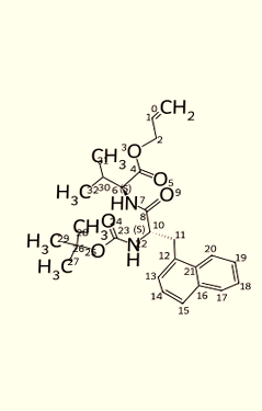 C=CCOC(=O)[C@@H](NC(=O)[C@H](Cc1cccc2ccccc12)NC(=O)OC(C)(C)C)C(C)C